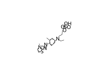 CCN(CCCOS(=O)(=O)O)c1ccc(N=Nc2scc[n+]2C)c(C)c1